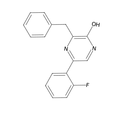 Oc1ncc(-c2ccccc2F)nc1Cc1ccccc1